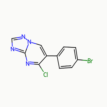 Clc1nc2ncnn2cc1-c1ccc(Br)cc1